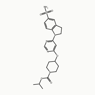 CC(C)OC(=O)N1CCC(Oc2cc(N3CCc4cc(S(N)(=O)=O)ccc43)ncn2)CC1